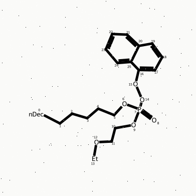 CCCCCCCCCCCCCCCOP(=O)(OCCOCC)OOc1cccc2ccccc12